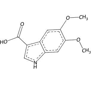 COc1cc2[nH]cc(C(=O)O)c2cc1OC